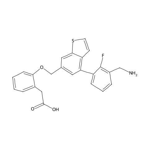 NCc1cccc(-c2cc(COc3ccccc3CC(=O)O)cc3sccc23)c1F